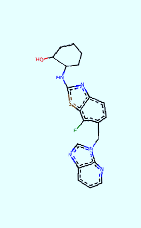 OC1CCCCC1Nc1nc2ccc(Cn3cnc4cccnc43)c(F)c2s1